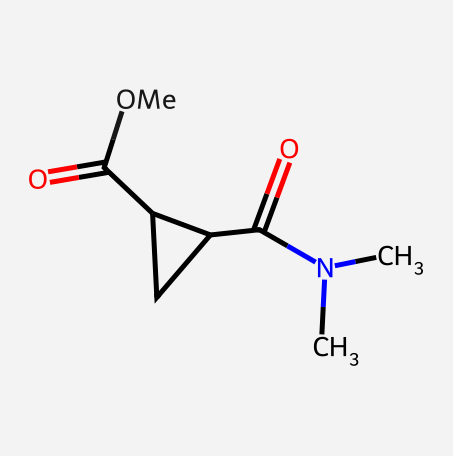 COC(=O)C1CC1C(=O)N(C)C